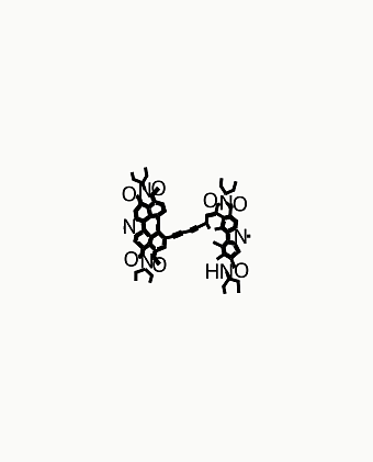 CCC(CC)NC(=O)c1cc2c(c(C)c1C)c1c(C)c3c(cc1n2C)C(=O)N(C(CC)CC)C(=O)/C3=C/C(C)C#CC#Cc1cc2c(=O)n(C(CC)CC)c(=O)c3cc4c5c(c1c1ccc6c(=O)n(C(CC)CC)c(=O)c7cc(c5c1c67)n4C)c23